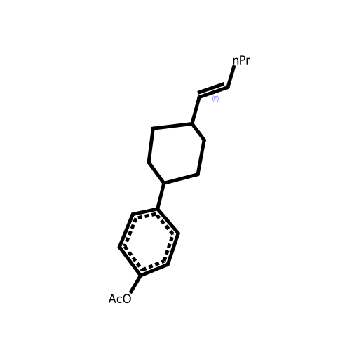 CCC/C=C/C1CCC(c2ccc(OC(C)=O)cc2)CC1